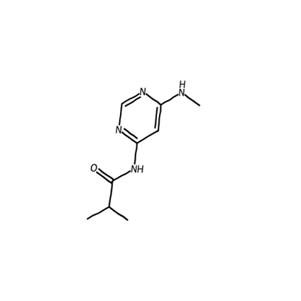 CNc1cc(NC(=O)C(C)C)ncn1